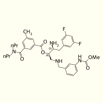 CCCN(CCC)C(=O)c1cc(C)cc(C(=O)O[C@H](CNCc2cccc(NC(=O)OC)c2)[C@@H](N)Cc2cc(F)cc(F)c2)c1